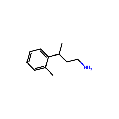 Cc1ccccc1C(C)CCN